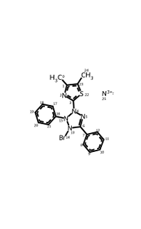 Cc1nc(N2N=C(c3ccccc3)N(Br)N2c2ccccc2)sc1C.[N+3]